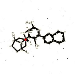 CSc1nc(-c2ccc3ccccc3c2)c(C#N)c(N2C[C@H]3CC[C@@H](C2)N3C(=O)OC(C)(C)C)n1